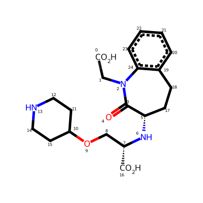 O=C(O)CN1C(=O)[C@@H](N[C@@H](COC2CCNCC2)C(=O)O)CCc2ccccc21